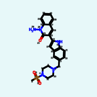 CS(=O)(=O)N1CCN(Cc2ccc3[nH]c(-c4cc5ccccc5n(N)c4=O)cc3c2)CC1